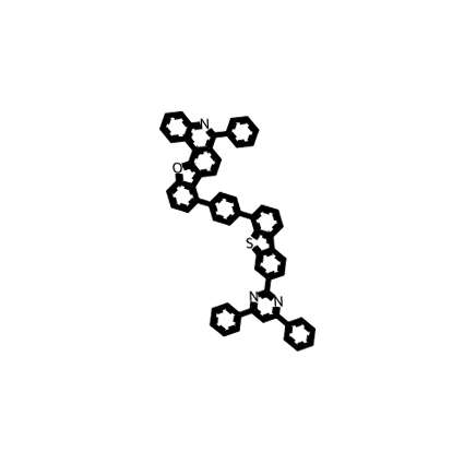 c1ccc(-c2cc(-c3ccccc3)nc(-c3ccc4c(c3)sc3c(-c5ccc(-c6cccc7oc8c(ccc9c(-c%10ccccc%10)nc%10ccccc%10c98)c67)cc5)cccc34)n2)cc1